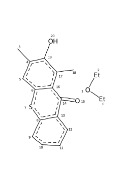 CCOCC.Cc1cc2sc3ccccc3c(=O)c2c(C)c1O